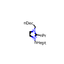 CCCCCCCCCCCn1cc[n+](CCCCCCC)c1CCC